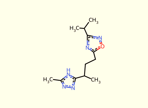 Cc1nnc(C(C)CCc2nc(C(C)C)no2)[nH]1